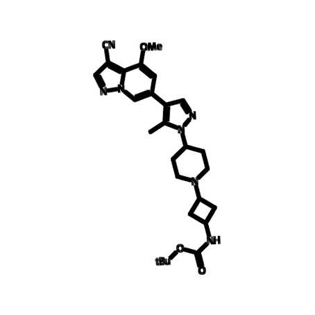 COc1cc(-c2cnn(C3CCN(C4CC(NC(=O)OC(C)(C)C)C4)CC3)c2C)cn2ncc(C#N)c12